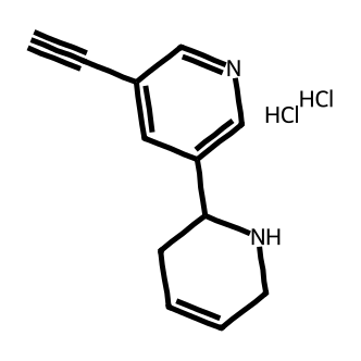 C#Cc1cncc(C2CC=CCN2)c1.Cl.Cl